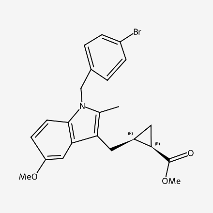 COC(=O)[C@@H]1C[C@@H]1Cc1c(C)n(Cc2ccc(Br)cc2)c2ccc(OC)cc12